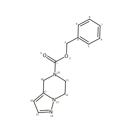 O=C(OCc1ccccc1)N1CCn2nccc2C1